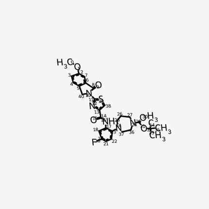 COc1ccc2c(c1)C(=O)N(c1nc(C(=O)Nc3cc(F)ccc3N3CCCN(C(=O)OC(C)(C)C)CC3)cs1)C2